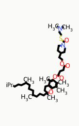 Cc1c(C)c2c(c(C)c1OC(=O)CCC(=O)OCCC1CCN(C(=O)SCCN(C)C)CC1)CCC(C)(CCCC(C)CCCC(C)CCCC(C)C)O2